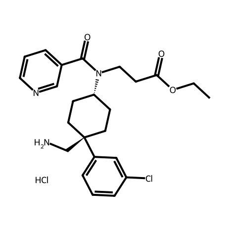 CCOC(=O)CCN(C(=O)c1cccnc1)[C@H]1CC[C@@](CN)(c2cccc(Cl)c2)CC1.Cl